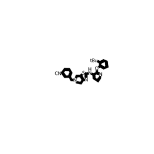 [C-]#[N+]c1cccc(CN2CCc3nc(Nc4cccnc4Oc4ccccc4C(C)(C)C)sc3C2)c1